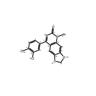 CC(C)n1c(=O)nc(-c2ccc(Cl)c(Cl)c2)c2cc3c(cc21)OCO3